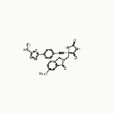 CCNc1nnc(-c2ccc(C#C[C@]3(CN4Cc5ccc(OC)cc5C4=O)NC(=O)NC3=O)cc2)o1